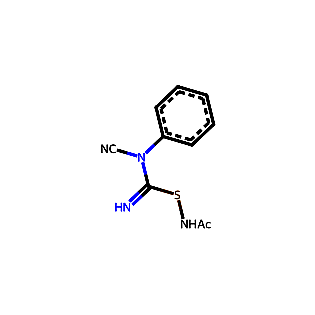 CC(=O)NSC(=N)N(C#N)c1ccccc1